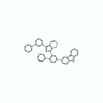 c1cccc(-c2ccc(-c3ccc4oc5ccccc5c4c3)cc2-c2sc(-c3cccc(-c4ccccc4)c3)c3c2CCC=C3)c#1